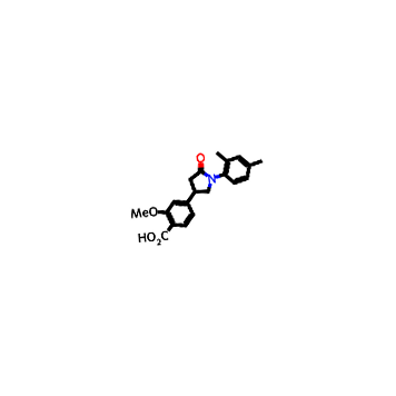 COc1cc(C2CC(=O)N(c3ccc(C)cc3C)C2)ccc1C(=O)O